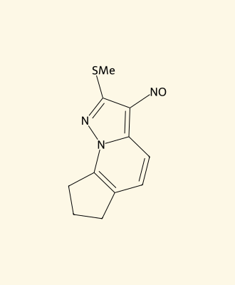 CSc1nn2c3c(ccc2c1N=O)CCC3